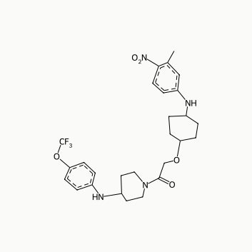 Cc1cc(NC2CCC(OCC(=O)N3CCC(Nc4ccc(OC(F)(F)F)cc4)CC3)CC2)ccc1[N+](=O)[O-]